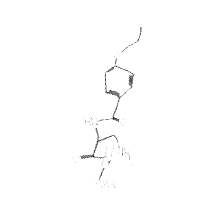 CCOc1ccc(C(=O)N[C@@](C)(CN)C(=O)NO)cc1